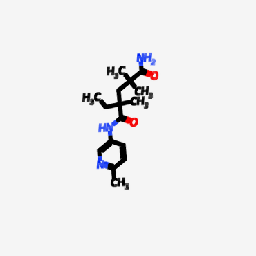 CCC(C)(CC(C)(C)C(N)=O)C(=O)Nc1ccc(C)nc1